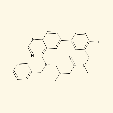 CN(C)CC(=O)N(C)Cc1cc(-c2ccc3ncnc(NCc4ccccc4)c3c2)ccc1F